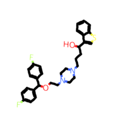 OC(CCCN1CCN(CCOC(c2ccc(F)cc2)c2ccc(F)cc2)CC1)c1csc2ccccc12